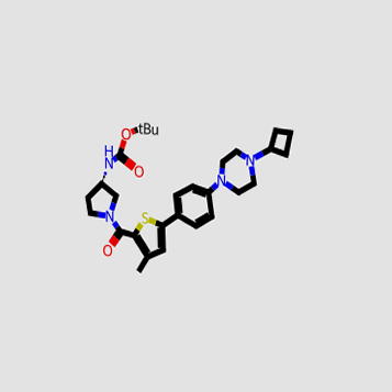 Cc1cc(-c2ccc(N3CCN(C4CCC4)CC3)cc2)sc1C(=O)N1CC[C@H](NC(=O)OC(C)(C)C)C1